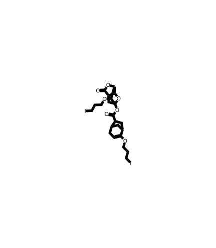 O=C(OC12CC3C(=O)OC(C3O1)C2OCCCI)C1CC2CC1CC=C2OCCCI